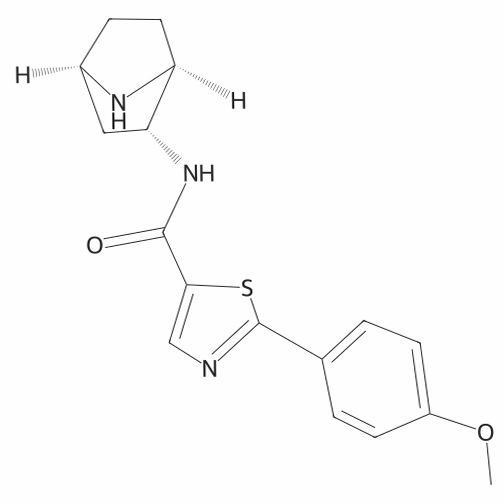 COc1ccc(-c2ncc(C(=O)N[C@@H]3C[C@H]4CC[C@@H]3N4)s2)cc1